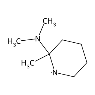 CN(C)C1(C)CCCC[N]1